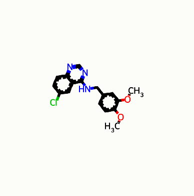 COc1ccc(CNc2ncnc3ccc(Cl)cc23)cc1OC